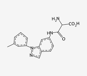 Cc1cccc(-n2ncc3ccc(NC(=O)C(N)C(=O)O)cc32)c1